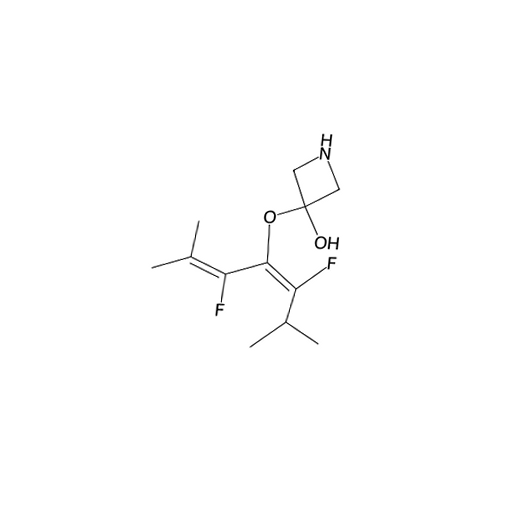 CC(C)=C(F)/C(OC1(O)CNC1)=C(/F)C(C)C